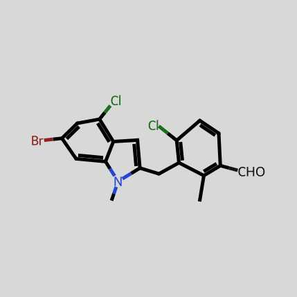 Cc1c(C=O)ccc(Cl)c1Cc1cc2c(Cl)cc(Br)cc2n1C